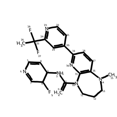 C=C(NC1C=CN=CC1F)N1CCCN(C)c2ccc(-c3ccnc(C(C)(F)F)c3)nc21